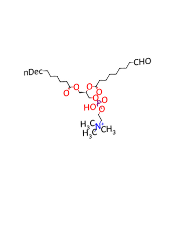 CCCCCCCCCCCCCCCC(=O)OC[C@H](COP(=O)(O)OCC[N+](C)(C)C)OC(=O)CCCCCCCC=O